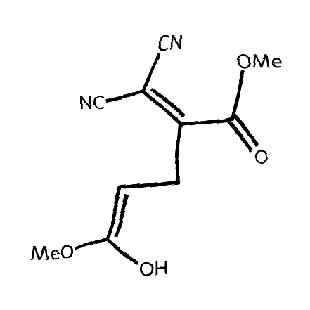 COC(=O)C(CC=C(O)OC)=C(C#N)C#N